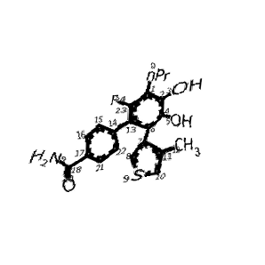 CCCc1c(O)c(O)c(-c2cscc2C)c(-c2ccc(C(N)=O)cc2)c1F